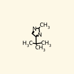 CC1N=CC(C(C)(C)C)=N1